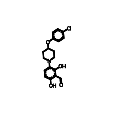 O=Cc1c(O)ccc(N2CCC(Oc3ccc(Cl)cc3)CC2)c1O